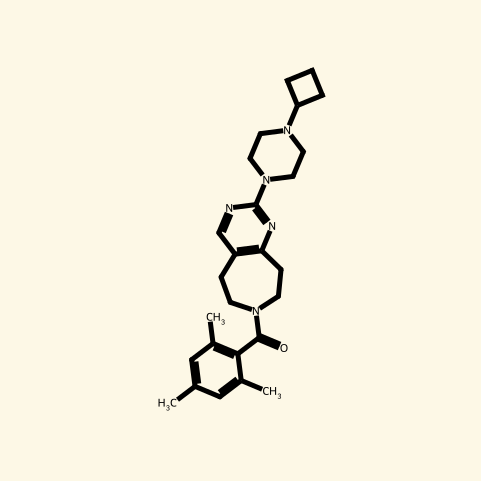 Cc1cc(C)c(C(=O)N2CCc3cnc(N4CCN(C5CCC5)CC4)nc3CC2)c(C)c1